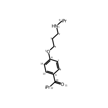 CC(C)NCCCOc1ccc(C(=O)C(C)C)cc1